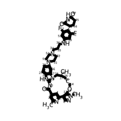 Cc1cc2cc(n1)-c1cnn(C)c1OCCC[C@@H](C)CN1/C(=N/C2=O)Nc2ccc(N3CCN(CCCNc4cc(F)c([C@H]5CCC(=O)NC5=O)c(F)c4)CC3)cc21